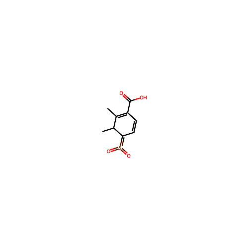 CC1=C(C(=O)O)C=CC(=S(=O)=O)C1C